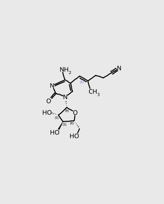 C/C(=C\c1cn([C@@H]2O[C@H](CO)[C@@H](O)[C@@H]2O)c(=O)nc1N)CCC#N